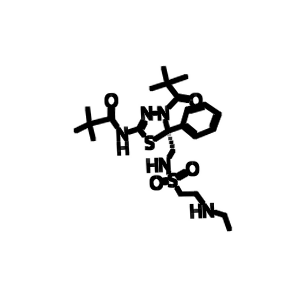 CCNCCS(=O)(=O)NC[C@]1(c2ccccc2)SC(NC(=O)C(C)(C)C)=NN1C(=O)C(C)(C)C